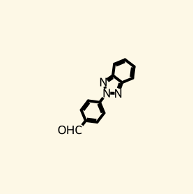 O=Cc1ccc(-n2nc3ccccc3n2)cc1